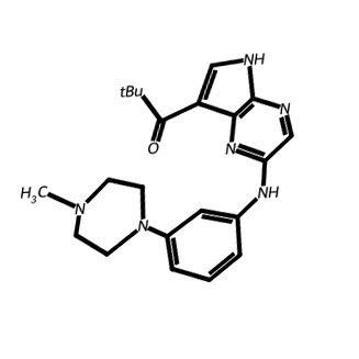 CN1CCN(c2cccc(Nc3cnc4[nH]cc(C(=O)C(C)(C)C)c4n3)c2)CC1